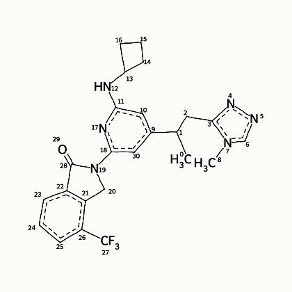 CC(Cc1nncn1C)c1cc(NC2CCC2)nc(N2Cc3c(cccc3C(F)(F)F)C2=O)c1